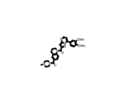 COc1ccc(-c2ccnc3cc(C(=O)N4CCCc5cc(C(=O)N6CCN(C)CC6)ccc54)nn23)cc1OC